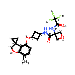 Cc1ccc(OC2CC(NC(=O)C3(NC(=O)C(F)(F)F)COC3)C2)c2c1OCC21CC1